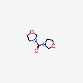 O=C(N1CCOC1)N1CCOC1